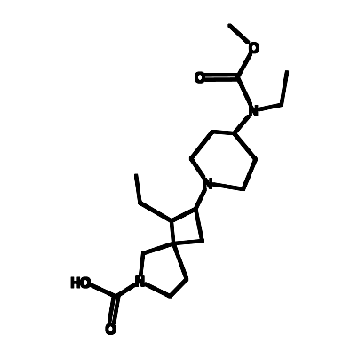 CCC1C(N2CCC(N(CC)C(=O)OC)CC2)CC12CCN(C(=O)O)C2